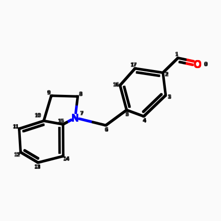 O=Cc1ccc(CN2CCc3ccccc32)cc1